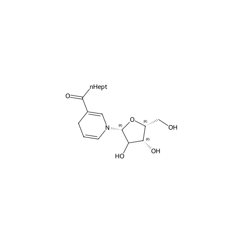 CCCCCCCC(=O)C1=CN([C@@H]2O[C@H](CO)[C@H](O)C2O)C=CC1